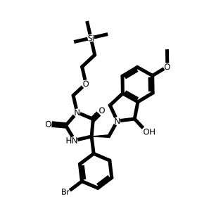 COc1ccc2c(c1)C(O)N(C[C@@]1(C3C=C(Br)C=CC3)NC(=O)N(COCC[Si](C)(C)C)C1=O)C2